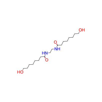 O=C(CCCCCCCO)NCCNC(=O)CCCCCCCO